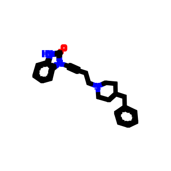 O=c1[nH]c2ccccc2n1C#CCCN1CCC(Cc2ccccc2)CC1